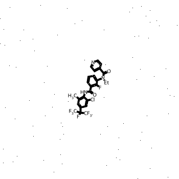 CCN(C(=O)c1ccncc1)c1cccc(C(=O)Nc2c(C)cc(C(F)(C(F)(F)F)C(F)(F)F)cc2Cl)c1F